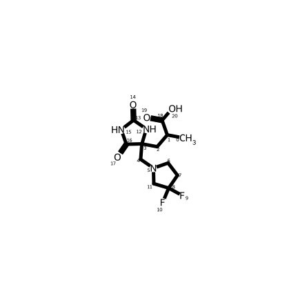 CC(CC1(CN2CCC(F)(F)C2)NC(=O)NC1=O)C(=O)O